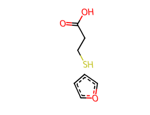 O=C(O)CCS.c1ccoc1